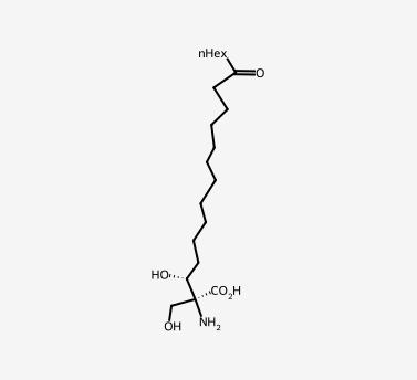 CCCCCCC(=O)CCCCCCCCCC[C@@H](O)[C@@](N)(CO)C(=O)O